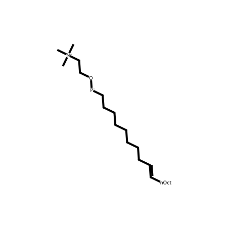 CCCCCCCCC=CCCCCCCCC[P-]OCC[N+](C)(C)C